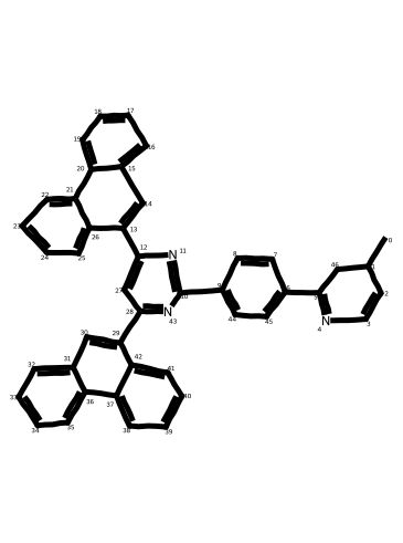 CC1C=CN=C(c2ccc(-c3nc(-c4cc5ccccc5c5ccccc45)cc(-c4cc5ccccc5c5ccccc45)n3)cc2)C1